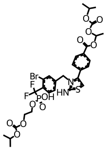 CC(C)OC(=O)OCCOP(=O)(O)C(F)(F)c1ccc(Cn2c(-c3ccc(C(=O)OC(C)OC(=O)OC(C)C)cc3)csc2=N)cc1Br